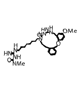 CNC(=O)NC(=N)NCCCCCCCCN1CCCc2ccccc2COc2ccc(OC)cc2CNC(=N)NC1=O